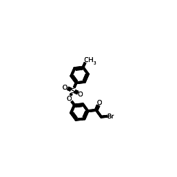 Cc1ccc(S(=O)(=O)Oc2cccc(C(=O)CBr)c2)cc1